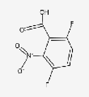 O=C(O)c1c(F)ccc(F)c1[N+](=O)[O-]